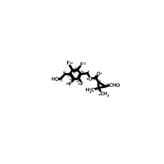 CC1(C)C(C=O)C1C(=O)OCc1c(F)c(F)c(CCO)c(F)c1F